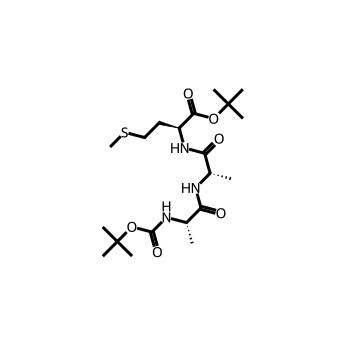 CSCC[C@H](NC(=O)[C@H](C)NC(=O)[C@H](C)NC(=O)OC(C)(C)C)C(=O)OC(C)(C)C